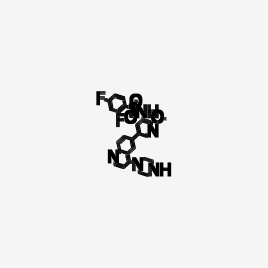 COc1ncc(-c2ccc3nccc(N4CCNCC4)c3c2)cc1NS(=O)(=O)c1ccc(F)cc1F